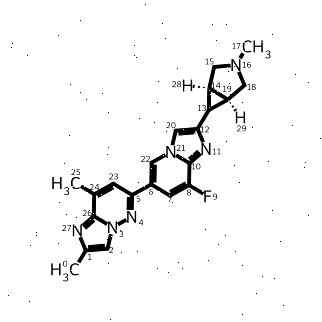 Cc1cn2nc(-c3cc(F)c4nc(C5[C@H]6CN(C)C[C@@H]56)cn4c3)cc(C)c2n1